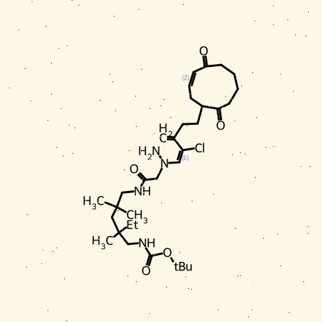 C=C(CCC1C/C=C\C(=O)CCCCC1=O)/C(Cl)=C\N(N)CC(=O)NCC(C)(C)CC(C)(CC)CNC(=O)OC(C)(C)C